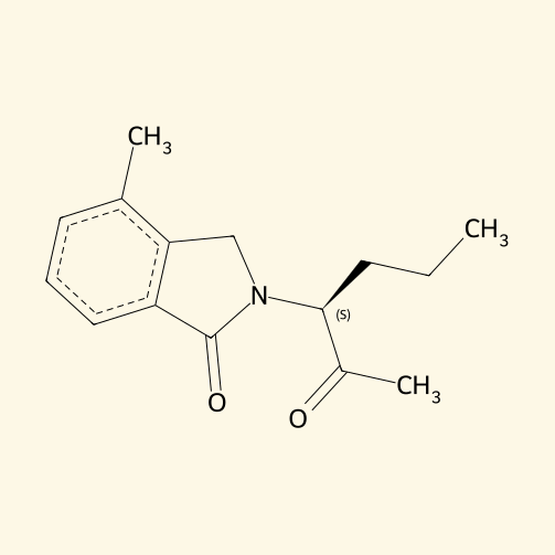 CCC[C@@H](C(C)=O)N1Cc2c(C)cccc2C1=O